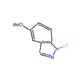 COc1ccc2c(cnn2F)c1